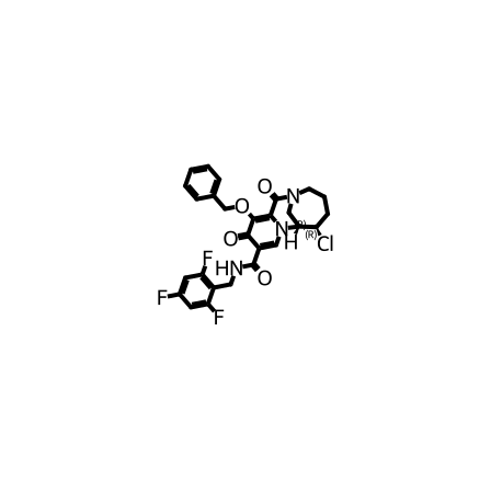 O=C(NCc1c(F)cc(F)cc1F)c1cn2c(c(OCc3ccccc3)c1=O)C(=O)N1CCC[C@@H](Cl)[C@H]2C1